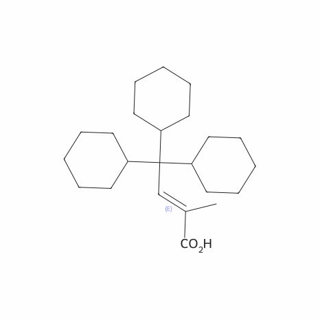 C/C(=C\C(C1CCCCC1)(C1CCCCC1)C1CCCCC1)C(=O)O